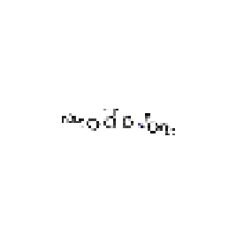 CCCCOc1ccc(-c2ccc(-c3ccc(/C=C/c4ccc(OCC)cc4F)cc3)c(F)c2F)cc1